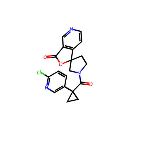 O=C1OC2(CCN(C(=O)C3(c4ccc(Cl)nc4)CC3)C2)c2ccncc21